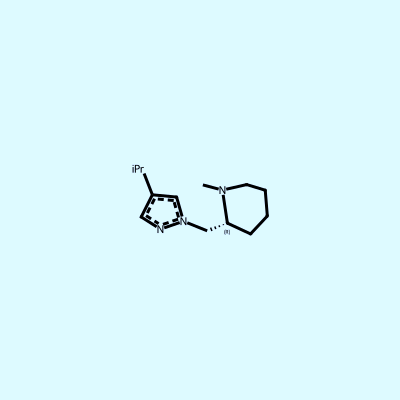 CC(C)c1cnn(C[C@H]2CCCCN2C)c1